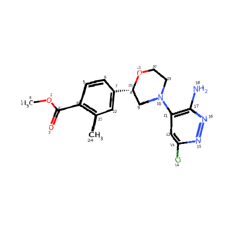 COC(=O)c1ccc([C@H]2CN(c3cc(Cl)nnc3N)CCO2)cc1C